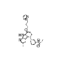 CCS(=O)(=O)c1cccc(-c2ccc(OCCCn3cccn3)c3[nH]c4ncc(C)cc4c23)c1